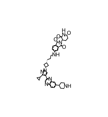 O=C1CCC(N2C(=O)c3ccc(NCCC[C@H]4C[C@@H](n5cc(-c6cnc7ccc(C8CCNCC8)cc7n6)c(C6CC6)n5)C4)cc3C2=O)C(=O)N1